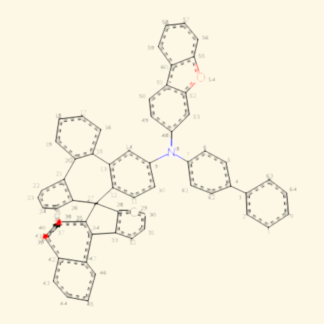 c1ccc(-c2ccc(N(c3ccc4c(c3)-c3ccccc3-c3ccccc3C43c4ccccc4-c4c3c3ccccc3c3ccccc43)c3ccc4c(c3)oc3ccccc34)cc2)cc1